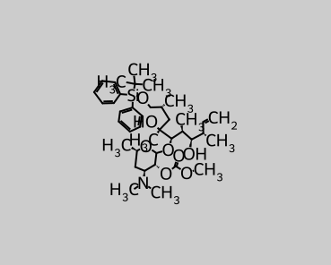 C=C[C@H](C)[C@@H](O)[C@H](C)[C@@H](OC1O[C@H](C)C[C@H](N(C)C)[C@H]1OC(=O)OC)[C@](C)(O)C[C@@H](C)CO[Si](c1ccccc1)(c1ccccc1)C(C)(C)C